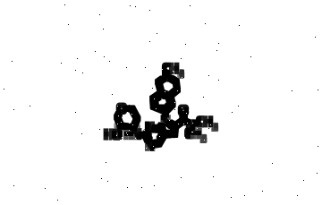 CN1CCc2cc(-n3c(C(=O)N(C)C)cc4cnc(N[C@@H]5CCOC[C@H]5O)nc43)ccc2C1